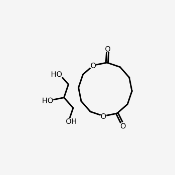 O=C1CCCCC(=O)OCCCCO1.OCC(O)CO